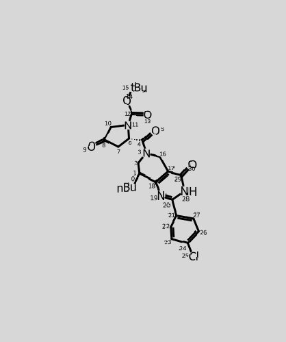 CCCCC1CN(C(=O)[C@@H]2CC(=O)CN2C(=O)OC(C)(C)C)Cc2c1nc(-c1ccc(Cl)cc1)[nH]c2=O